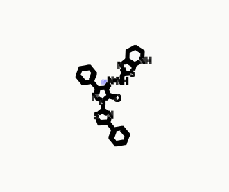 O=C1/C(=N\Nc2nc3c(s2)NCCC3)C(c2ccccc2)=NN1c1nc(-c2ccccc2)cs1